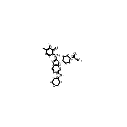 Cc1ccc(Nc2nc3cnc(NC4CCOCC4)nc3n2[C@H]2CC[C@H](C(N)=O)CC2)c(Cl)c1F